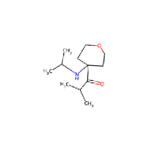 CC(C)NC1(C(=O)C(C)C)CCOCC1